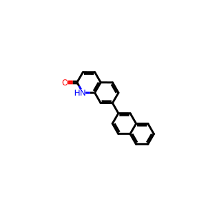 O=c1ccc2ccc(-c3ccc4ccccc4c3)cc2[nH]1